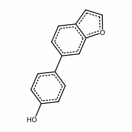 Oc1ccc(-c2ccc3ccoc3c2)cc1